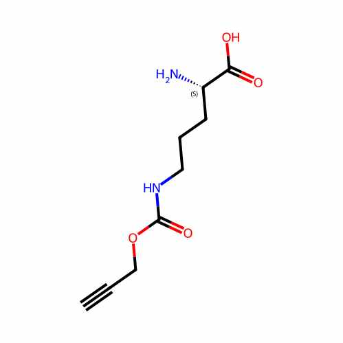 C#CCOC(=O)NCCC[C@H](N)C(=O)O